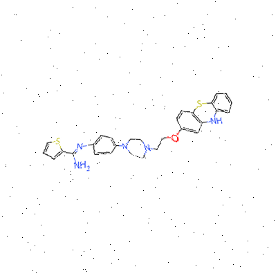 N/C(=N\c1ccc(N2CCN(CCOc3ccc4c(c3)Nc3ccccc3S4)CC2)cc1)c1cccs1